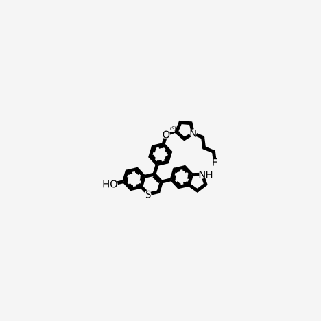 Oc1ccc2c(c1)SCC(c1ccc3c(c1)CCN3)=C2c1ccc(O[C@H]2CCN(CCCF)C2)cc1